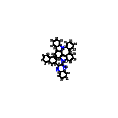 c1ccc2cc(-c3nc4ccccc4nc3-n3c4cccc5c6ccccc6n6c7ccccc7c7ccc3c(c54)c76)ccc2c1